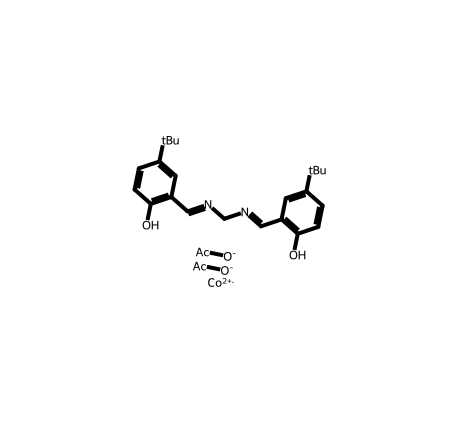 CC(=O)[O-].CC(=O)[O-].CC(C)(C)c1ccc(O)c(C=NCN=Cc2cc(C(C)(C)C)ccc2O)c1.[Co+2]